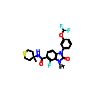 CC(C)n1c(=O)n(-c2cccc(OC(F)F)c2)c2ccc(C(=O)NC3(C)CCSCC3)c(F)c21